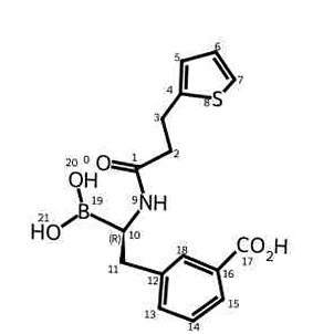 O=C(CCc1cccs1)N[C@@H](Cc1cccc(C(=O)O)c1)B(O)O